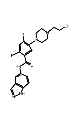 O=C(Nc1ccc2[nH]ncc2c1)c1cc(N2CCN(CCO)CC2)c(F)cc1F